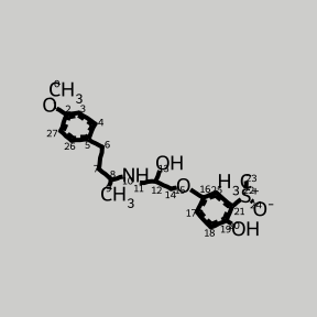 COc1ccc(CCC(C)NCC(O)COc2ccc(O)c([S+](C)[O-])c2)cc1